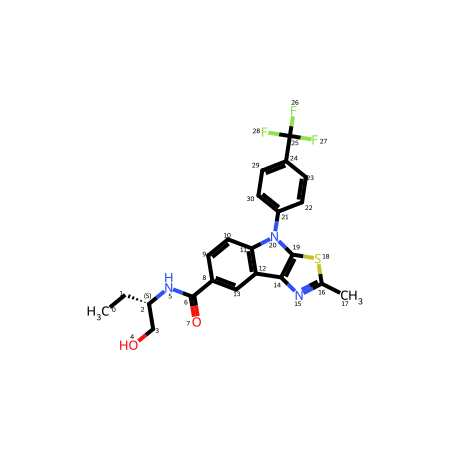 CC[C@@H](CO)NC(=O)c1ccc2c(c1)c1nc(C)sc1n2-c1ccc(C(F)(F)F)cc1